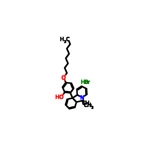 Br.CCCCCCCCOc1ccc(C2(C3C=CC=CN3C)C=CC=CC2CC)c(O)c1